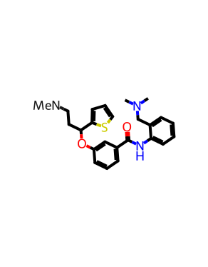 CNCCC(Oc1cccc(C(=O)Nc2ccccc2CN(C)C)c1)c1cccs1